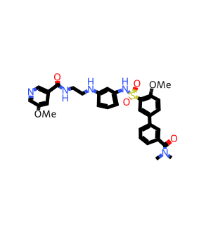 COc1cncc(C(=O)NCCNc2cccc(NS(=O)(=O)c3cc(-c4cccc(C(=O)N(C)C)c4)ccc3OC)c2)c1